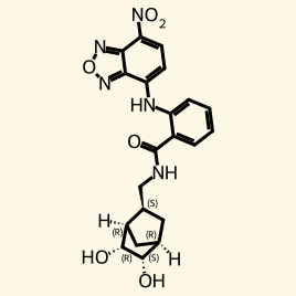 O=C(NC[C@H]1C[C@@H]2C[C@H]1[C@@H](O)[C@H]2O)c1ccccc1Nc1ccc([N+](=O)[O-])c2nonc12